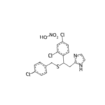 Clc1ccc(CSC(Cc2ncc[nH]2)c2ccc(Cl)cc2Cl)cc1.O=[N+]([O-])O